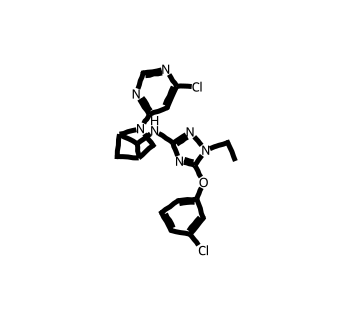 CCn1nc(NC2C3CC2N(c2cc(Cl)ncn2)C3)nc1Oc1cccc(Cl)c1